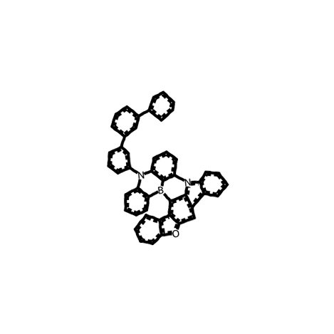 c1ccc(-c2cccc(-c3cccc(N4c5ccccc5B5c6c4cccc6-n4c6ccccc6c6cc7oc8ccccc8c7c5c64)c3)c2)cc1